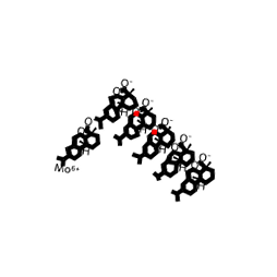 CC(C)C1=CC2=CCC3[C@](C)(C(=O)[O-])CCC[C@]3(C)[C@H]2CC1.CC(C)C1=CC2=CCC3[C@](C)(C(=O)[O-])CCC[C@]3(C)[C@H]2CC1.CC(C)C1=CC2=CCC3[C@](C)(C(=O)[O-])CCC[C@]3(C)[C@H]2CC1.CC(C)C1=CC2=CCC3[C@](C)(C(=O)[O-])CCC[C@]3(C)[C@H]2CC1.CC(C)C1=CC2=CCC3[C@](C)(C(=O)[O-])CCC[C@]3(C)[C@H]2CC1.CC(C)C1=CC2=CCC3[C@](C)(C(=O)[O-])CCC[C@]3(C)[C@H]2CC1.[Mo+6]